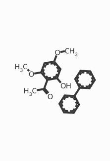 COc1cc(O)c(C(C)=O)c(OC)c1.c1ccc(-c2ccccc2)cc1